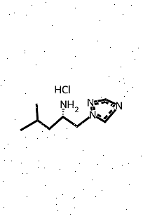 CC(C)C[C@H](N)Cn1cncn1.Cl